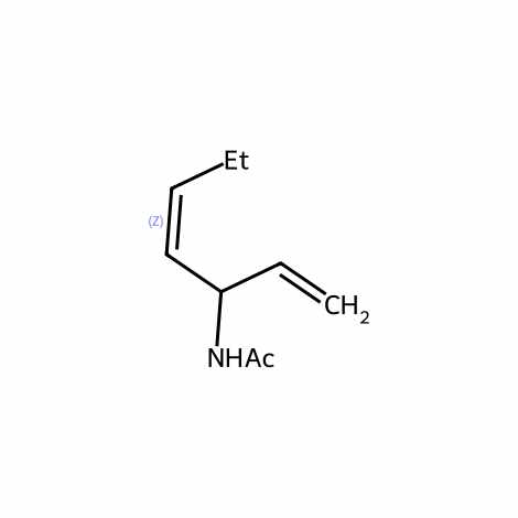 C=CC(/C=C\CC)NC(C)=O